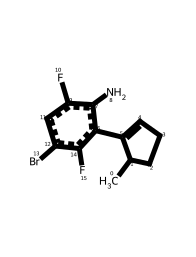 CC1CCC=C1c1c(N)c(F)cc(Br)c1F